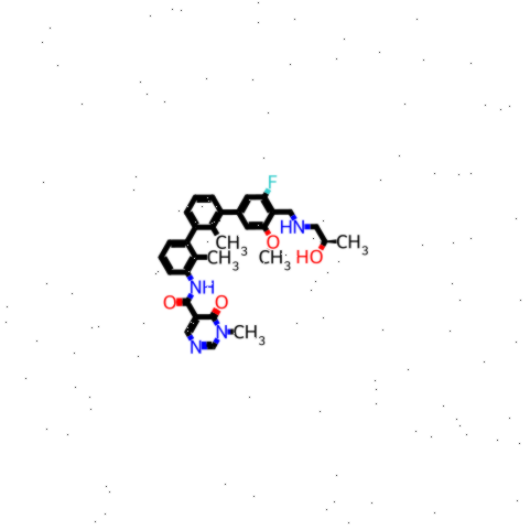 COc1cc(-c2cccc(-c3cccc(NC(=O)c4cncn(C)c4=O)c3C)c2C)cc(F)c1CNC[C@@H](C)O